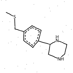 CSCc1ccc(C2CNCCN2)cc1